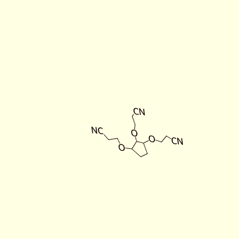 N#CCCOC1CCC(OCCC#N)C1OCCC#N